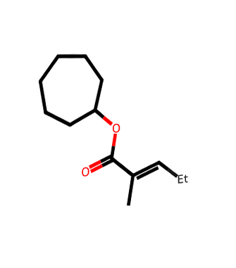 CCC=C(C)C(=O)OC1CCCCCC1